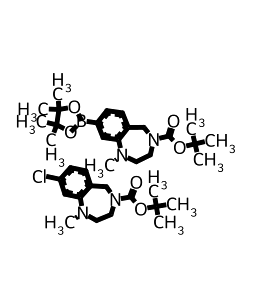 CN1CCN(C(=O)OC(C)(C)C)Cc2ccc(B3OC(C)(C)C(C)(C)O3)cc21.CN1CCN(C(=O)OC(C)(C)C)Cc2ccc(Cl)cc21